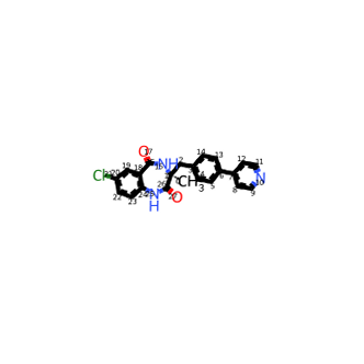 C[C@@]1(Cc2ccc(-c3ccncc3)cc2)NC(=O)c2cc(Cl)ccc2NC1=O